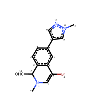 CN1C=C(Br)c2cc(-c3cnn(C)c3)ccc2C1C=O